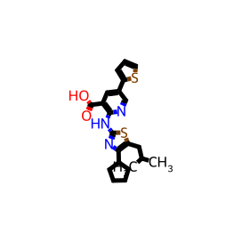 CC(C)Cc1sc(Nc2ncc(-c3cccs3)cc2C(=O)O)nc1C1CCCC1